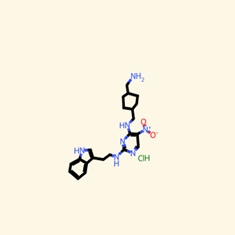 Cl.NCC1CCC(CNc2nc(NCCc3c[nH]c4ccccc34)ncc2[N+](=O)[O-])CC1